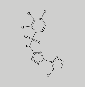 O=S(=O)(Nc1nc(-c2sccc2Cl)ns1)c1ccc(Cl)c(Cl)c1Cl